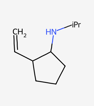 C=CC1CCCC1NC(C)C